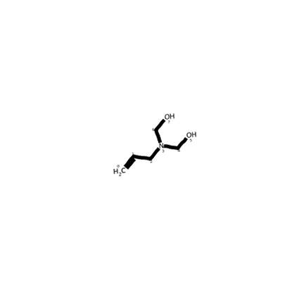 C=CCN(CO)CO